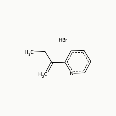 Br.C=C(CC)c1ccccn1